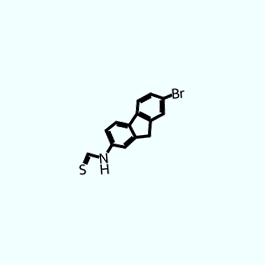 S=CNc1ccc2c(c1)Cc1cc(Br)ccc1-2